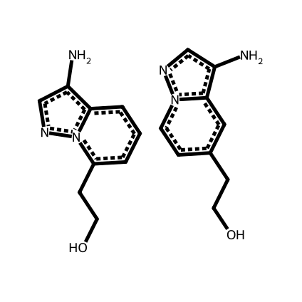 Nc1cnn2c(CCO)cccc12.Nc1cnn2ccc(CCO)cc12